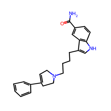 NC(=O)c1ccc2[nH]cc(CCCCN3CC=C(c4ccccc4)CC3)c2c1